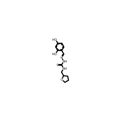 Oc1ccc(C=NNC(=S)NCC2CCCO2)c(O)c1